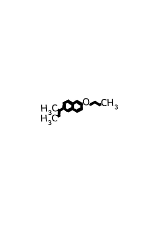 CCCCOc1ccc2cc(C(C)CC)ccc2c1